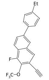 C#Cc1cc2cc(-c3ccc(CC)cc3)ccc2c(F)c1OC(F)(F)F